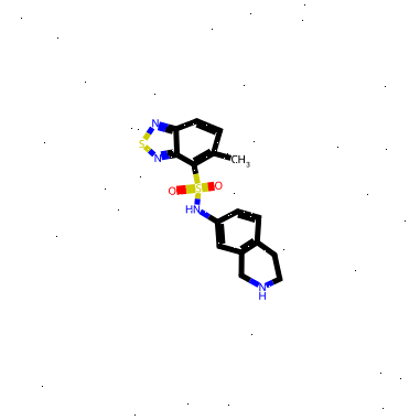 Cc1ccc2nsnc2c1S(=O)(=O)Nc1ccc2c(c1)CNCC2